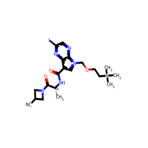 C[C@@H](NC(=O)c1cn(COCC[Si](C)(C)C)c2ncc(I)nc12)C(=O)N1CC(C#N)C1